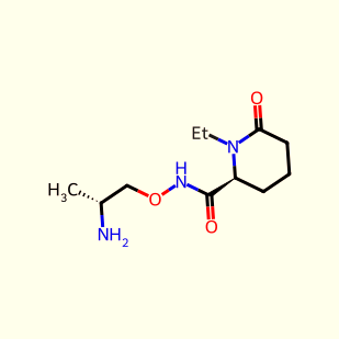 CCN1C(=O)CCC[C@H]1C(=O)NOC[C@@H](C)N